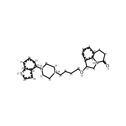 O=C1CCc2cccc3c2N1CC3OCCCCN1CCN(c2cccc3sccc23)CC1